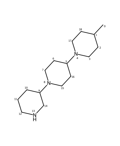 CC1CCN(C2CCN(C3CCCNC3)CC2)CC1